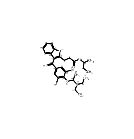 CCC(C)OC(=O)CCc1oc2ccccc2c1C(=O)c1cc(I)c(OC(C)N(CC)CC)c(I)c1